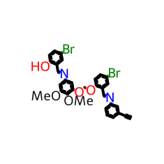 C#Cc1cccc(/N=C/c2cc(Br)ccc2OCOc2cc(/N=C/c3cc(Br)ccc3O)cc(OC)c2OC)c1